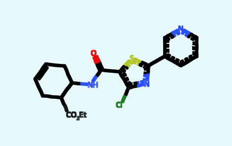 CCOC(=O)C1CC=CCC1NC(=O)c1sc(-c2cccnc2)nc1Cl